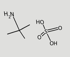 CC(C)(C)N.O=S(=O)(O)O